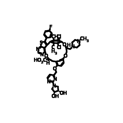 Cc1c(Cl)c2c(Cl)c(C)c1-c1c(-c3ccc(F)cc3)sc3ncnc(c13)O[C@@H](C(=O)O)Cc1cc(ccc1OCc1ccnc(N3C[C@H](O)[C@@H](O)C3)n1)OC[C@@H](CN1CCN(C)CC1)O2